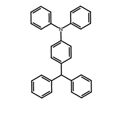 c1ccc(C(c2ccccc2)c2ccc(N(c3ccccc3)c3ccccc3)cc2)cc1